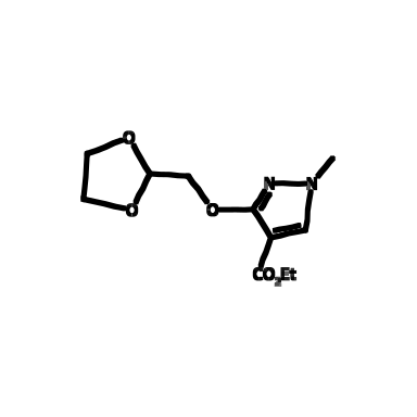 CCOC(=O)c1cn(C)nc1OCC1OCCO1